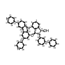 O=C1c2c(cccc2-n2c3ccc(-c4ccncc4)cc3c3cc(-c4ccncc4)ccc32)C(O)N1c1cccc(-c2ccccc2)c1